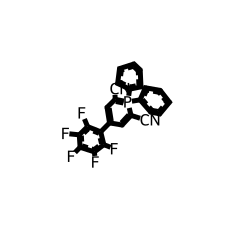 N#CC1=CC(c2c(F)c(F)c(F)c(F)c2F)=CC(C#N)=P1(c1ccccc1)c1ccccc1